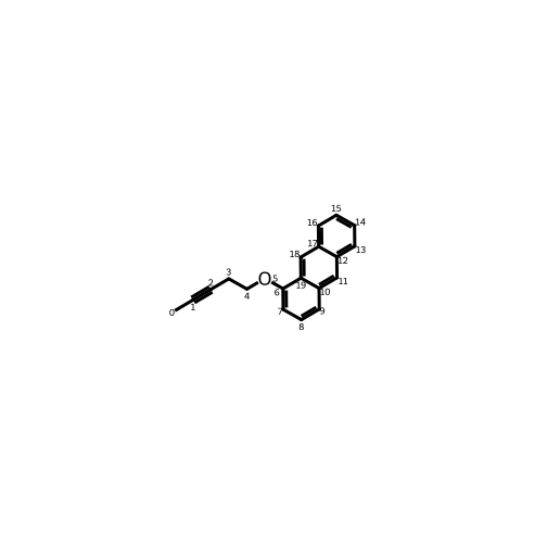 CC#CCCOc1cccc2cc3ccccc3cc12